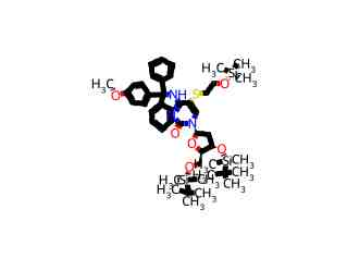 COc1ccc(C(Nc2nc(=O)n([C@@H]3C[C@H](O[Si](C)(C)C(C)(C)C)[C@@H](CO[Si](C)(C)C(C)(C)C)O3)cc2SCCO[Si](C)(C)C)(c2ccccc2)c2ccccc2)cc1